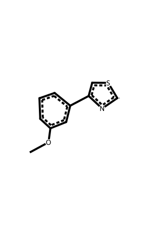 COc1cccc(-c2cs[c]n2)c1